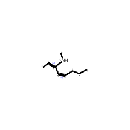 C/C=C(\C=C/CCC)NC